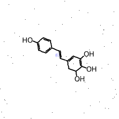 OC1=C(O)C(O)CC(/C=C/c2ccc(O)cc2)=C1